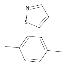 Cc1ccc(C)cc1.c1cnsc1